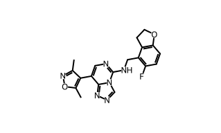 Cc1noc(C)c1-c1cnc(NCc2c(F)ccc3c2CCO3)n2cnnc12